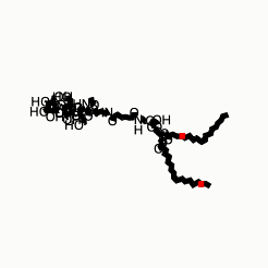 CCCCCCCC/C=C\CCCCCCCC(=O)OC[C@H](COP(=O)(O)OCCNC(=O)CCCCC(=O)NCCCO[C@@H]1OC(CO)[C@@H](O[C@@H]2OC(CO)[C@H](O)C(O[C@H]3OC(CO)[C@H](O)C(O)C3O)[C@@H]2O)C(O)C1NC(C)=O)OC(=O)CCCCCCC/C=C\CCCCCCCC